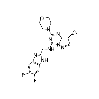 Fc1cc2nc(CNc3nc(N4CCOCC4)nc4c(C5CC5)cnn34)[nH]c2cc1F